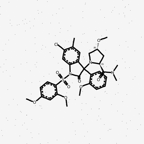 COc1ccc(S(=O)(=O)N2C(=O)C(c3ccccc3OC)(N3C[C@H](OC)C[C@H]3C(=O)N(C)C)c3cc(C)c(Cl)cc32)c(OC)c1